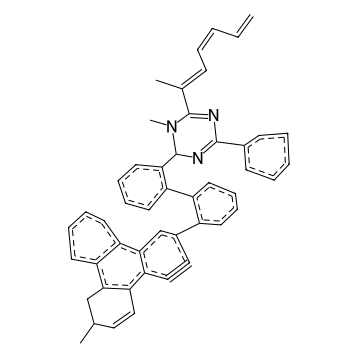 C=C/C=C\C=C(/C)C1=NC(c2ccccc2)=NC(c2ccccc2-c2ccccc2-c2c#cc3c4c(c5ccccc5c3c2)CC(C)C=C4)N1C